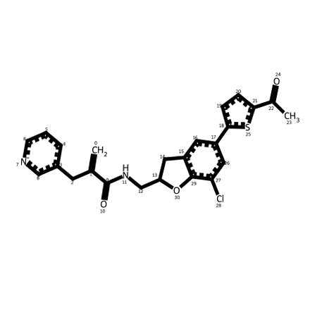 C=C(Cc1cccnc1)C(=O)NCC1Cc2cc(-c3ccc(C(C)=O)s3)cc(Cl)c2O1